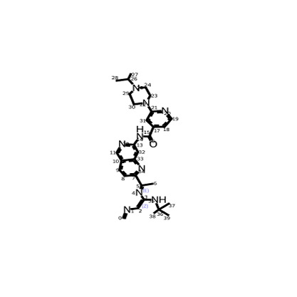 C=N/C=C(\N=C(/C)c1ccc2cnc(NC(=O)c3ccnc(N4CCN(C(C)C)CC4)c3)cc2n1)NC(C)(C)C